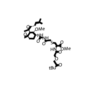 COC(=O)C(CSCC(=O)NC(=O)N[C@@H]1CC[C@]2(CO2)[C@@H](C2(C)O[C@@H]2CC=C(C)C)[C@@H]1OC)NC(=O)COCC(=O)C(C)(C)C